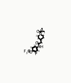 CN(C)C(=O)N1CCC(CC(=O)Nc2ccc(OC(F)(F)F)c(F)c2)CC1